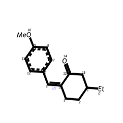 CCC1CC/C(=C/c2ccc(OC)cc2)C(=O)C1